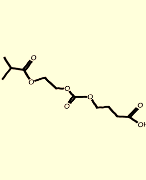 CC(C)C(=O)OCCOC(=O)OCCCC(=O)O